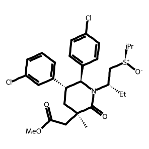 CC[C@@H](C[S@+]([O-])C(C)C)N1C(=O)[C@@](C)(CC(=O)OC)C[C@H](c2cccc(Cl)c2)[C@H]1c1ccc(Cl)cc1